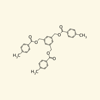 Cc1ccc(C(=O)OCc2cc(COC(=O)c3ccc(C)cc3)cc(COC(=O)c3ccc(C)cc3)c2)cc1